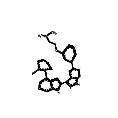 CN(C)CCOc1cncc(-c2cc3c(-c4cc5c(-c6ccccc6F)cncc5[nH]4)n[nH]c3cn2)c1